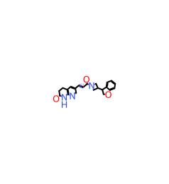 O=C1CCc2cc(/C=C/C(=O)N3CC(C4COc5ccccc54)C3)cnc2N1